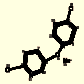 Clc1ccc(Oc2ccc(Cl)nc2)cn1.[Na]